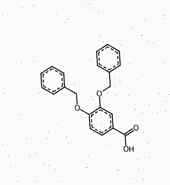 O=C(O)c1ccc(OCc2ccccc2)c(OCc2ccccc2)c1